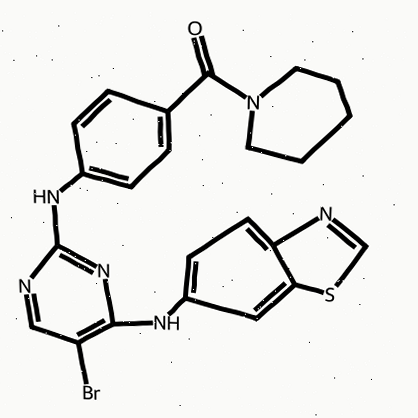 O=C(c1ccc(Nc2ncc(Br)c(Nc3ccc4ncsc4c3)n2)cc1)N1CCCCC1